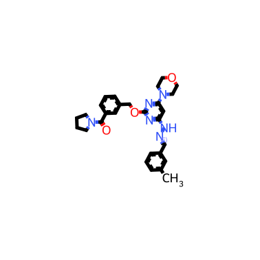 Cc1cccc(/C=N/Nc2cc(N3CCOCC3)nc(OCc3cccc(C(=O)N4CCCC4)c3)n2)c1